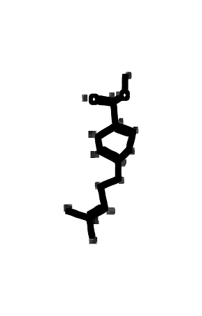 COC(=O)C1=CCC(CCC=C(C)C)=CC1